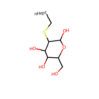 CCCCCCCCSC1C(O)OC(CO)C(O)C1O